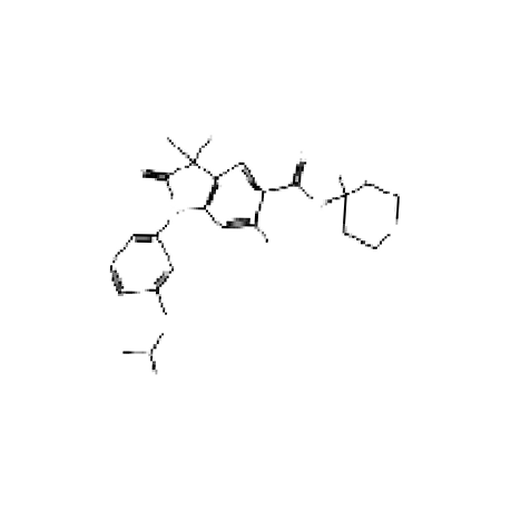 CC1(NC(=O)c2cc3c(cc2F)N(c2cccc(OC(F)F)c2)C(=O)C3(C)C)CCOCC1